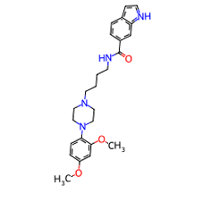 COc1ccc(N2CCN(CCCCNC(=O)c3ccc4cc[nH]c4c3)CC2)c(OC)c1